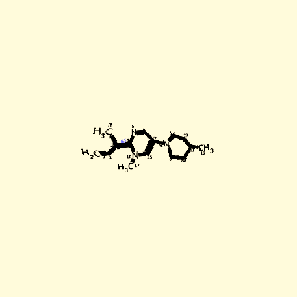 C=C/C(C)=C1/N=CC(N2CCC(C)CC2)=CN1C